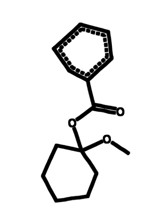 COC1(OC(=O)c2ccccc2)CCCCC1